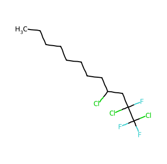 CCCCCCCCC(Cl)CC(F)(Cl)C(F)(F)Cl